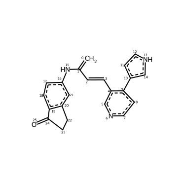 C=C(/C=C/c1cnccc1-c1cc[nH]c1)Nc1ccc2c(c1)CCC2=O